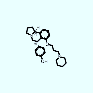 Oc1ccc([C@@H]2CN3CCC[C@H]3c3cccc(OCCCN4CCCCC4)c32)cc1